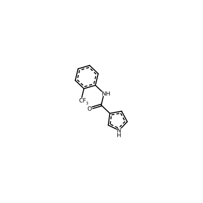 O=C(Nc1ccccc1C(F)(F)F)c1cc[nH]c1